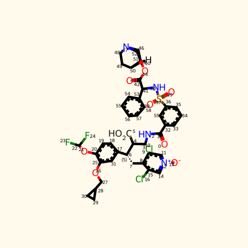 O=C(NCC(C(=O)O)[C@H](Cc1c(Cl)c[n+]([O-])cc1Cl)c1ccc(OC(F)F)c(OCC2CC2)c1)c1cccc(S(=O)(=O)NC(C(=O)O[C@H]2CN3CCC2CC3)c2ccccc2)c1